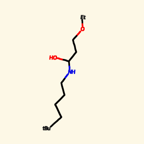 CCOCCC(O)NCCCCC(C)(C)C